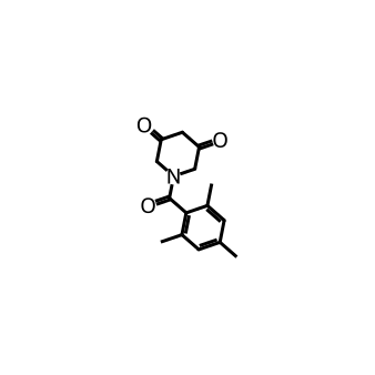 Cc1cc(C)c(C(=O)N2CC(=O)CC(=O)C2)c(C)c1